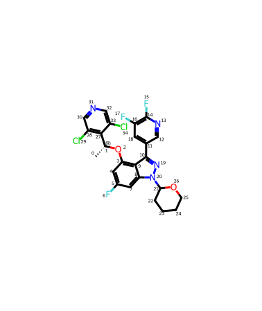 C[C@@H](Oc1cc(F)cc2c1c(-c1cnc(F)c(F)c1)nn2C1CCCCO1)c1c(Cl)cncc1Cl